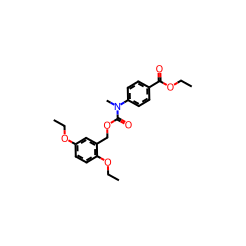 CCOC(=O)c1ccc(N(C)C(=O)OCc2cc(OCC)ccc2OCC)cc1